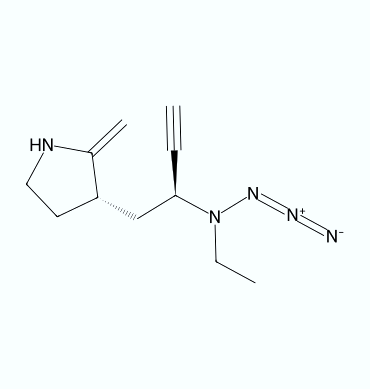 C#C[C@H](C[C@@H]1CCNC1=C)N(CC)N=[N+]=[N-]